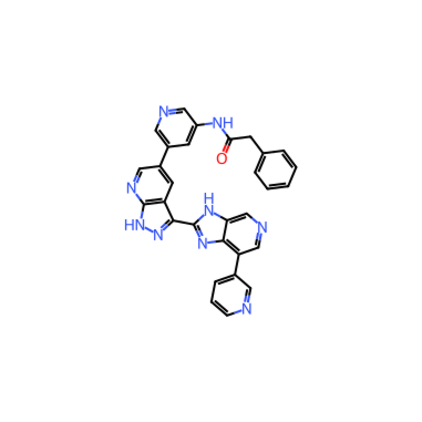 O=C(Cc1ccccc1)Nc1cncc(-c2cnc3[nH]nc(-c4nc5c(-c6cccnc6)cncc5[nH]4)c3c2)c1